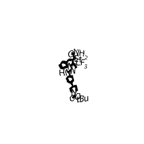 CCC(C(N)=O)C(Cc1ccccc1)c1nc(Nc2ccc(C3CCN(C(=O)OC(C)(C)C)CC3)cc2)ncc1C(F)(F)F